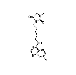 CN1CC(=O)N(CCCCCNc2ncnc3cc(F)ccc23)C1=O